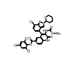 CC(C)(C)OC(=O)Nc1c(-c2ccc(Cl)c3nn(C4CCCCO4)cc23)c2cc(C(=O)Oc3c(Cl)cc(Cl)cc3Cl)ccc2[nH]c1=O